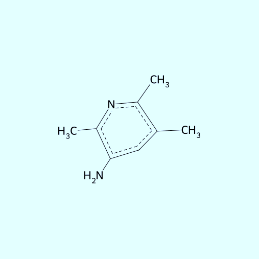 Cc1cc(N)c(C)nc1C